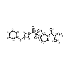 CC(C)C(=O)c1cccc(C(C)(C)C(=O)C2CN(Cc3ccccc3)C2)c1